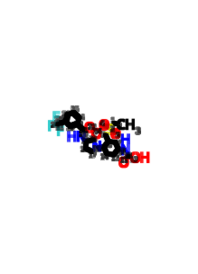 CCS(=O)(=O)CC1CC(NC(=O)O)CCC1N1CCC(NC(=O)c2cccc(C(F)(F)F)c2)C1=O